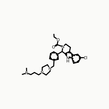 CCOC(=O)N1CCc2c([nH]c3ccc(Cl)cc23)C1c1cccc(CN2CCN(CCCN(C)C)CC2)c1